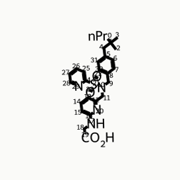 CCCC(C)(C)Cc1ccc(CN(Cc2cccc(NCC(=O)O)n2)S(=O)(=O)c2ccccn2)cc1